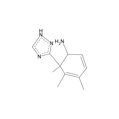 CC1=C(C)C(C)(c2nc[nH]n2)C(N)C=C1